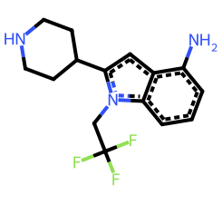 Nc1cccc2c1cc(C1CCNCC1)n2CC(F)(F)F